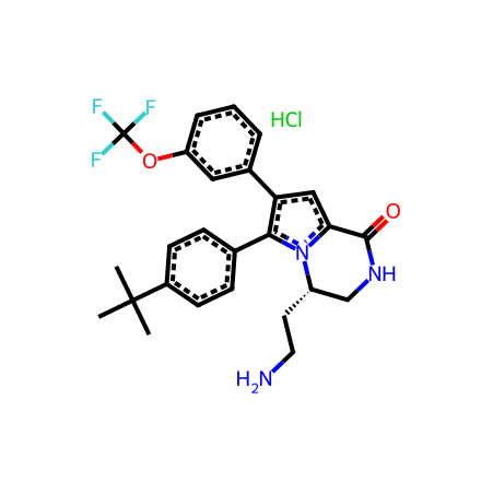 CC(C)(C)c1ccc(-c2c(-c3cccc(OC(F)(F)F)c3)cc3n2[C@@H](CCN)CNC3=O)cc1.Cl